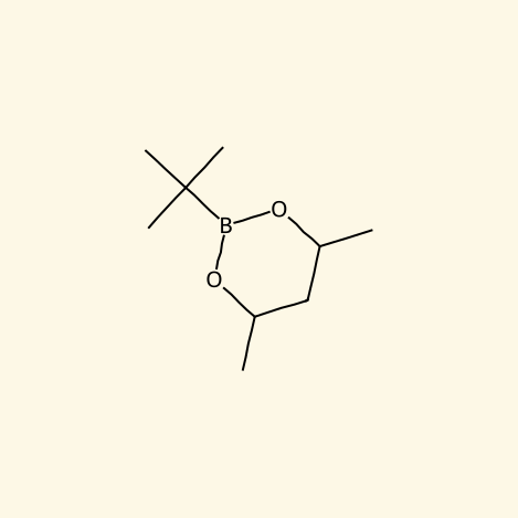 CC1CC(C)OB(C(C)(C)C)O1